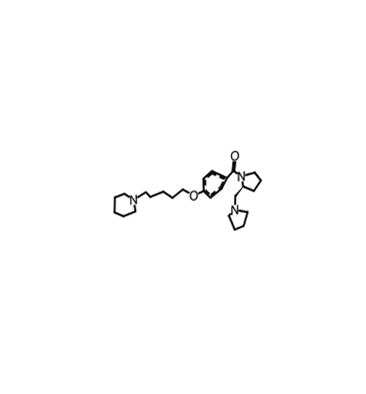 O=C(c1ccc(OCCCCCN2CCCCC2)cc1)N1CCC[C@H]1CN1CCCC1